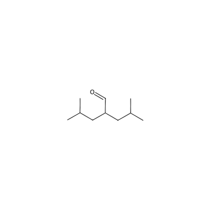 CC(C)CC(C=O)CC(C)C